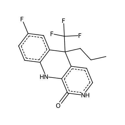 CCCC1(C(F)(F)F)c2cc(F)ccc2Nc2c1cc[nH]c2=O